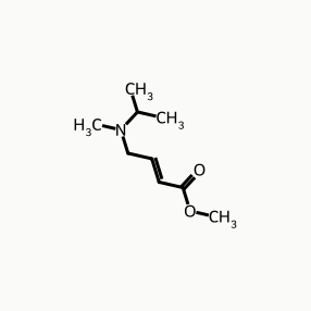 COC(=O)/C=C/CN(C)C(C)C